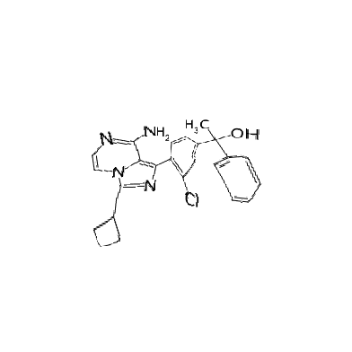 CC(O)(c1ccccc1)c1ccc(-c2nc(C3CCC3)n3ccnc(N)c23)c(Cl)c1